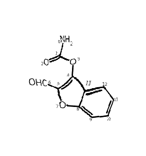 NC(=O)Oc1c(C=O)oc2ccccc12